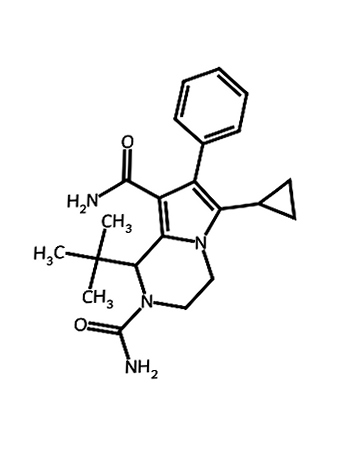 CC(C)(C)C1c2c(C(N)=O)c(-c3ccccc3)c(C3CC3)n2CCN1C(N)=O